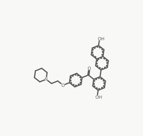 O=C(c1ccc(OCCN2CCCCC2)cc1)c1cc(O)ccc1-c1ccc2cc(O)ccc2c1